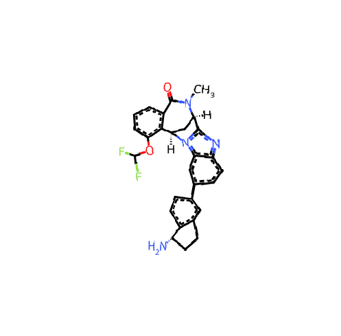 CN1C(=O)c2cccc(OC(F)F)c2[C@H]2C[C@@H]1c1nc3ccc(-c4ccc5c(c4)CC[C@@H]5N)cc3n12